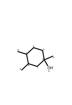 CC1CCC(C)(O)CC1C